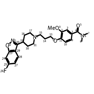 COc1cc(C(=O)N(C)C)ccc1OCCCN1CCC(c2noc3cc(F)ccc23)CC1